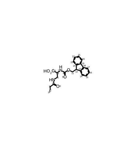 O=C(CF)NCC(NC(=O)OCC1c2ccccc2-c2ccccc21)C(=O)O